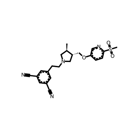 C[C@@H]1CN(CCc2cc(C#N)cc(C#N)c2)C[C@H]1COc1ccc(S(C)(=O)=O)nc1